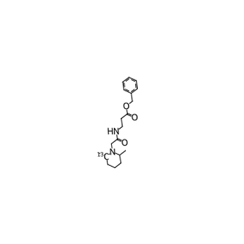 CC1CCC[13CH](C)N1CC(=O)NCCC(=O)OCc1ccccc1